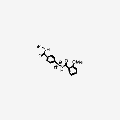 COc1ccccc1C(=O)NS(=O)(=O)c1ccc(C(=O)NC(C)C)cc1